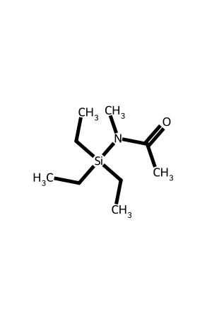 CC[Si](CC)(CC)N(C)C(C)=O